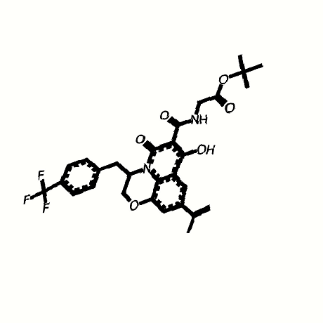 C=C(C)c1cc2c3c(c1)c(O)c(C(=O)NCC(=O)OC(C)(C)C)c(=O)n3C(Cc1ccc(C(F)(F)F)cc1)CO2